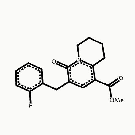 COC(=O)c1cc(Cc2ccccc2F)c(=O)n2c1CCCC2